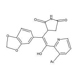 CC(=O)c1cccnc1C(O)=C(c1ccc2c(c1)OCO2)C1CC(=O)NC1=O